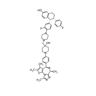 Cc1sc2c(c1C)C(c1ccc(N3CCC(O)(CN4CCN(c5ccc([C@@H]6c7ccc(O)cc7CC[C@@H]6c6ccc(F)cc6)cc5F)CC4)CC3)cc1)=N[C@@H](C)c1nnc(C)n1-2